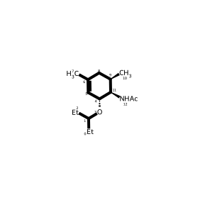 CCC(CC)O[C@@H]1C=C(C)C[C@@H](C)[C@H]1NC(C)=O